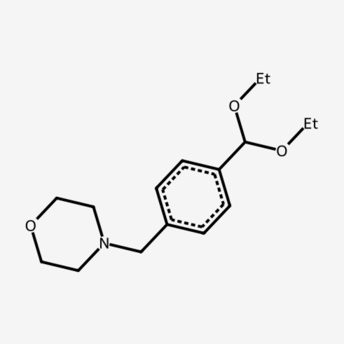 CCOC(OCC)c1ccc(CN2CCOCC2)cc1